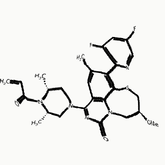 C=CC(=O)N1[C@H](C)CN(c2nc(=O)n3c4c(c(-c5ncc(F)cc5F)c(C)cc24)SC[C@@H](OC)C3)C[C@@H]1C